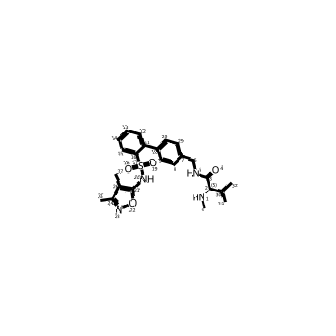 CN[C@H](C(=O)NCc1ccc(-c2ccccc2S(=O)(=O)Nc2onc(C)c2C)cc1)C(C)C